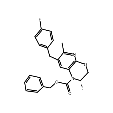 Cc1nc2c(cc1Cc1ccc(F)cc1)N(C(=O)OCc1ccccc1)[C@@H](C)CO2